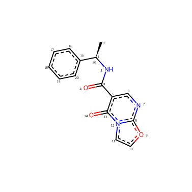 C[C@@H](NC(=O)c1cnc2occn2c1=O)c1ccccc1